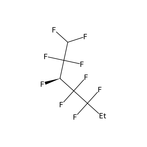 [CH2]CC(F)(F)C(F)(F)[C@@H](F)C(F)(F)C(F)F